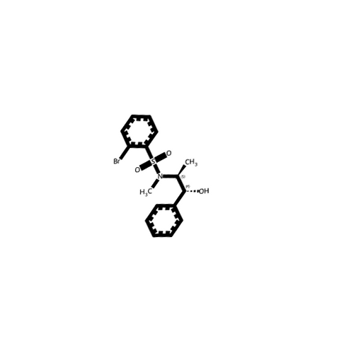 C[C@@H]([C@H](O)c1ccccc1)N(C)S(=O)(=O)c1ccccc1Br